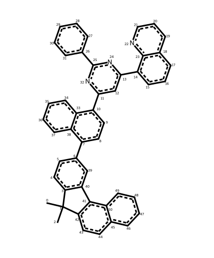 CC1(C)c2ccc(-c3ccc(-c4cc(-c5cccc6cccnc56)nc(-c5ccccc5)n4)c4ccccc34)cc2-c2c1ccc1ccccc21